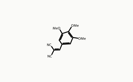 COc1cc(C=C(C#N)C#N)cc(OC)c1OC